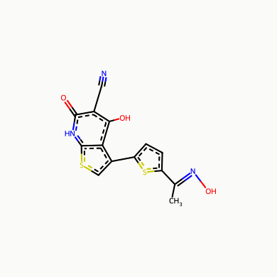 CC(=NO)c1ccc(-c2csc3[nH]c(=O)c(C#N)c(O)c23)s1